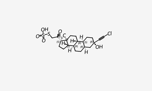 C[C@]12CC[C@H]3[C@@H](CC[C@@H]4C[C@@](O)(C#CCl)CC[C@@H]43)[C@@H]1CC[C@@H]2C(=O)CSS(=O)(=O)O